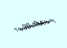 [SiH3]O[SiH2]O[SiH2]O[SiH2]O[SiH2]O[SiH2]O[SiH2]O[SiH2]O[SiH3]